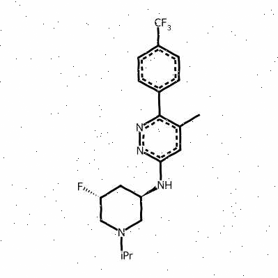 Cc1cc(N[C@@H]2C[C@@H](F)CN(C(C)C)C2)nnc1-c1ccc(C(F)(F)F)cc1